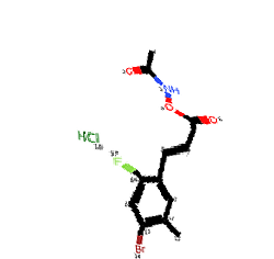 CC(=O)NOC(=O)CCc1cc(C)c(Br)cc1F.Cl